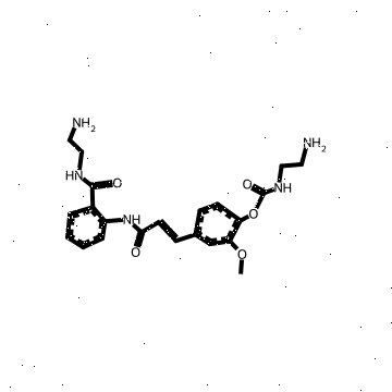 COc1cc(/C=C/C(=O)Nc2ccccc2C(=O)NCCN)ccc1OC(=O)NCCN